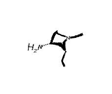 C[C@H]1[C@H](N)CN1C